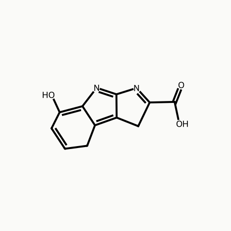 O=C(O)C1=NC2=NC3=C(O)C=CCC3=C2C1